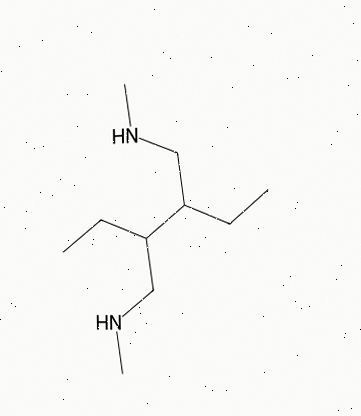 CCC(CNC)C(CC)CNC